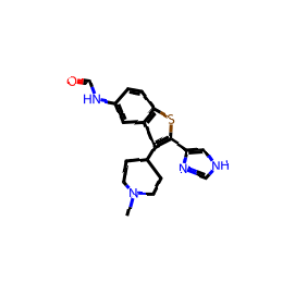 CN1CCC(c2c(-c3c[nH]cn3)sc3ccc(NC=O)cc23)CC1